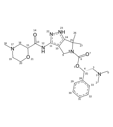 CN(C)C[C@@H](OC(=O)N1Cc2c(NC(=O)C3CN(C)CCO3)n[nH]c2C1(C)C)c1ccccc1